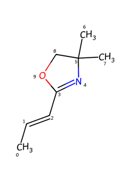 CC=CC1=NC(C)(C)CO1